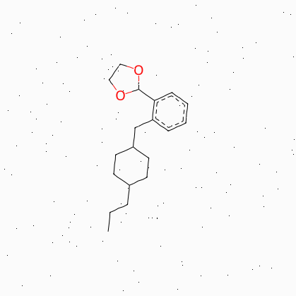 CCCC1CCC(Cc2ccccc2C2OCCO2)CC1